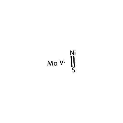 [Mo].[S]=[Ni].[V]